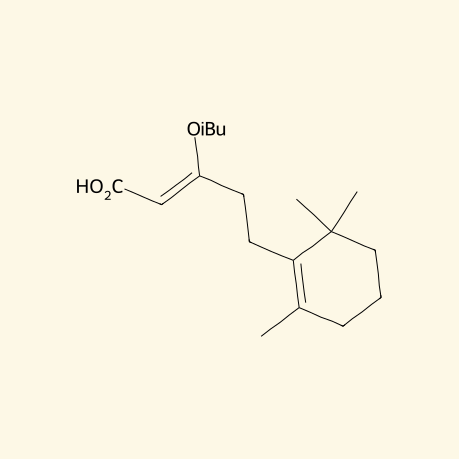 CC1=C(CCC(=CC(=O)O)OCC(C)C)C(C)(C)CCC1